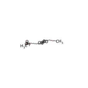 CCCCCCCCCC[C@@H](O)C[C@H]1CC[C@H]([C@H]2CC[C@H](C[C@H](O)CCCCCCCC[C@H]([18F])CC3=C[C@@H](C)OC3=O)O2)O1